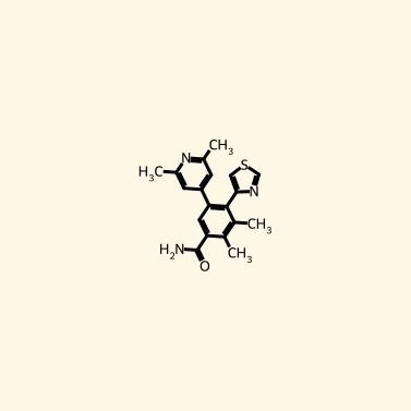 Cc1cc(-c2cc(C(N)=O)c(C)c(C)c2-c2cscn2)cc(C)n1